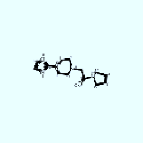 O=C(CN1CCN(c2n[c]co2)CC1)N1CCCC1